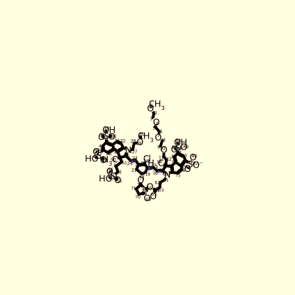 COCCOCCOCCOCCC1(C)/C(=C\C=C2/CCCC(/C=C/C3=[N+](CCOC)c4ccc5c(S(=O)(=O)O)cc(S(=O)(=O)O)cc5c4C3(C)CCCS(=O)(=O)O)=C2Cl)N(CCCC(=O)ON2C(=O)CCC2=O)c2ccc3c(S(=O)(=O)[O-])cc(S(=O)(=O)O)cc3c21